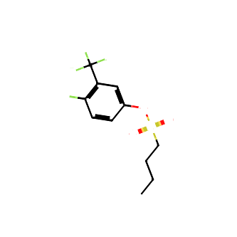 CCCCS(=O)(=O)Oc1ccc(F)c(C(F)(F)F)c1